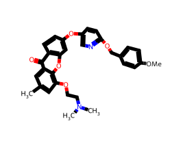 COc1ccc(COc2ccc(Oc3ccc4c(=O)c5cc(C)cc(OCCN(C)C)c5oc4c3)cn2)cc1